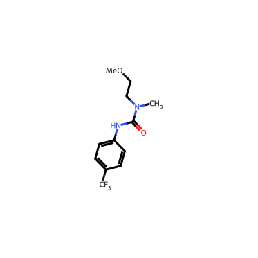 COCCN(C)C(=O)Nc1ccc(C(F)(F)F)cc1